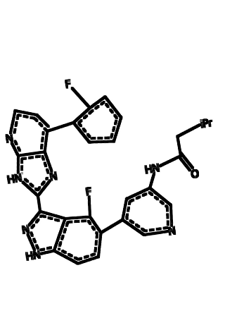 CC(C)CC(=O)Nc1cncc(-c2ccc3[nH]nc(-c4nc5c(-c6ccccc6F)ccnc5[nH]4)c3c2F)c1